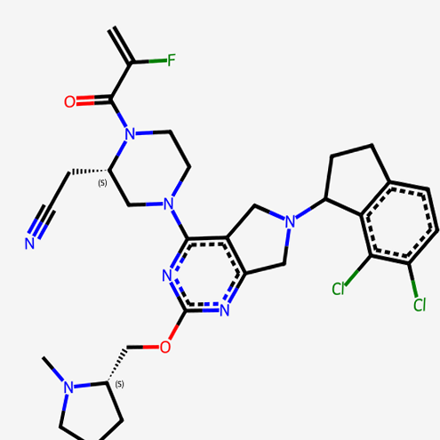 C=C(F)C(=O)N1CCN(c2nc(OC[C@@H]3CCCN3C)nc3c2CN(C2CCc4ccc(Cl)c(Cl)c42)C3)C[C@@H]1CC#N